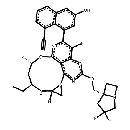 C#Cc1cccc2cc(O)cc(-c3nc4c5c(nc(OC[C@]67CCN6CC(F)(F)C7)nc5c3F)N3C[C@@H]3N[C@@H](CC)C[C@H](C)O4)c12